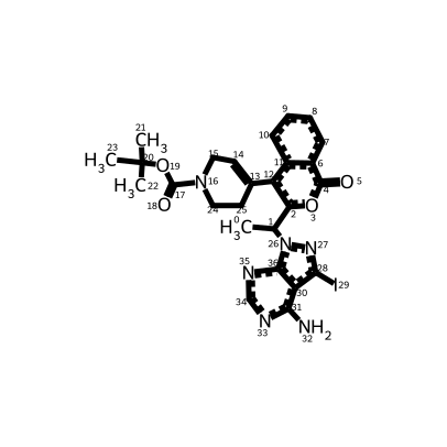 CC(c1oc(=O)c2ccccc2c1C1=CCN(C(=O)OC(C)(C)C)CC1)n1nc(I)c2c(N)ncnc21